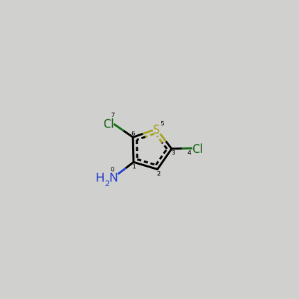 Nc1cc(Cl)sc1Cl